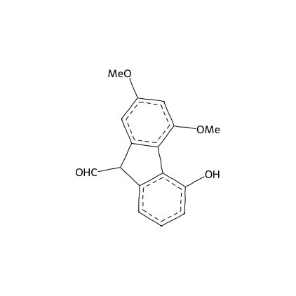 COc1cc(OC)c2c(c1)C(C=O)c1cccc(O)c1-2